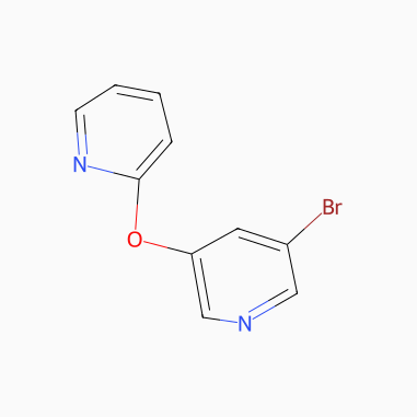 Brc1cncc(Oc2ccccn2)c1